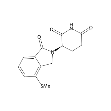 CSc1cccc2c1CN([C@@H]1CCC(=O)NC1=O)C2=O